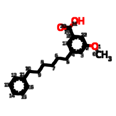 COc1cc(CCCCCCc2ccccc2)cc(C(=O)O)c1